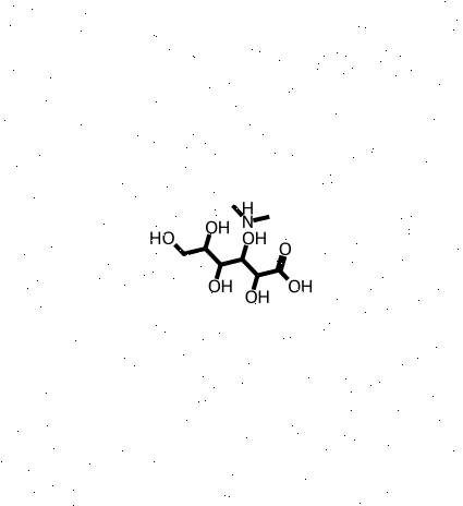 CNC.O=C(O)C(O)C(O)C(O)C(O)CO